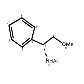 COC[C@H](NC(C)=O)c1ccccc1